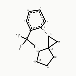 FC(F)(F)c1ccccc1[C@@H]1CC12CCNC2